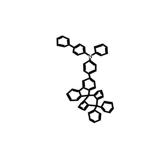 c1ccc(-c2ccc(N(c3ccccc3)c3ccc(-c4ccc5c(c4)-c4ccccc4C54c5ccccc5C(c5ccccc5)(c5ccccc5)c5ccccc54)cc3)cc2)cc1